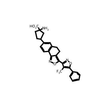 NC1(C(=O)O)CCC(c2ccc3c(c2)CCc2c-3noc2-c2noc(-c3ccccc3)c2C(F)(F)F)C1